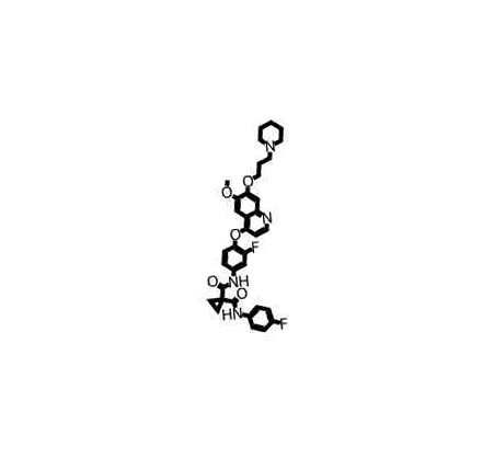 COc1cc2c(Oc3ccc(NC(=O)C4(C(=O)Nc5ccc(F)cc5)CC4)cc3F)ccnc2cc1OCCCN1CCCCC1